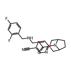 N#Cc1ccc(N2C3CCC2CN(C(=O)CCNCc2ccc(F)cc2F)C3)nc1